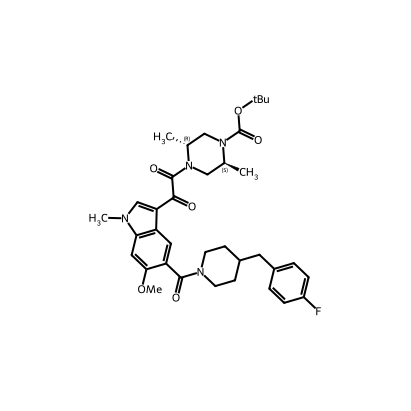 COc1cc2c(cc1C(=O)N1CCC(Cc3ccc(F)cc3)CC1)c(C(=O)C(=O)N1C[C@H](C)N(C(=O)OC(C)(C)C)C[C@H]1C)cn2C